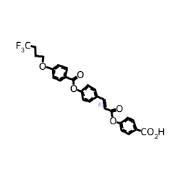 O=C(/C=C/c1ccc(OC(=O)c2ccc(OCCCC(F)(F)F)cc2)cc1)Oc1ccc(C(=O)O)cc1